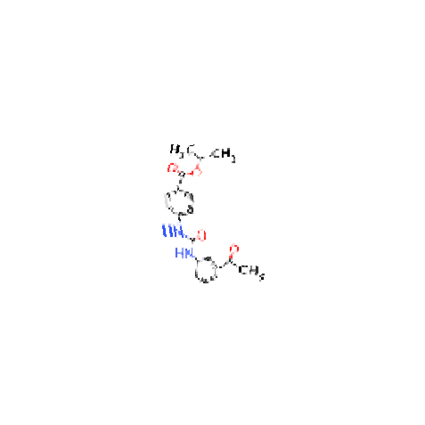 CC(=O)c1cccc(NC(=O)Nc2ccc(C(=O)OC(C)C)cc2)c1